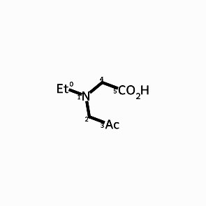 CCN(CC(C)=O)CC(=O)O